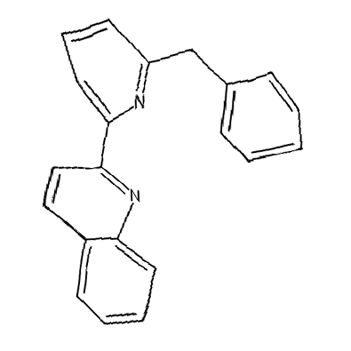 c1ccc(Cc2cccc(-c3ccc4ccccc4n3)n2)cc1